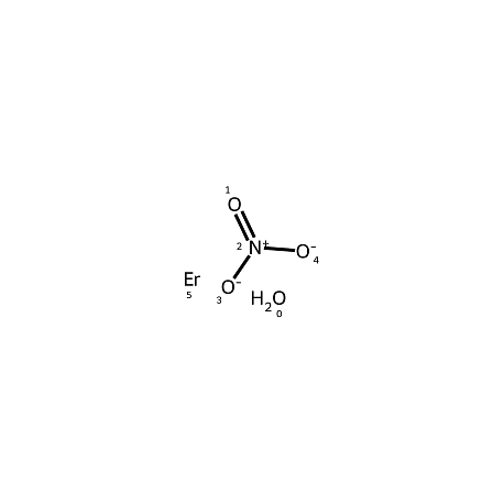 O.O=[N+]([O-])[O-].[Er]